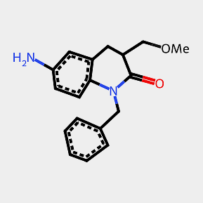 COCC1Cc2cc(N)ccc2N(Cc2ccccc2)C1=O